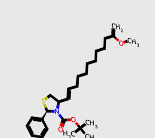 C=C(CCCCCCCC/C=C/C1CS[C@H](c2ccccc2)N1C(=O)OC(C)(C)C)OC